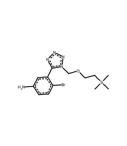 C[Si](C)(C)CCOCn1nnnc1-c1cc(N)ccc1Br